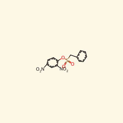 O=[N+]([O-])c1ccc(OS(=O)(=O)Cc2ccccc2)c([N+](=O)[O-])c1